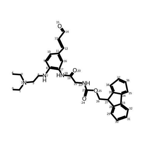 CCN(CC)CCNc1ccc(/C=C/C=O)cc1NC(=O)CNC(=O)OCC1c2ccccc2-c2ccccc21